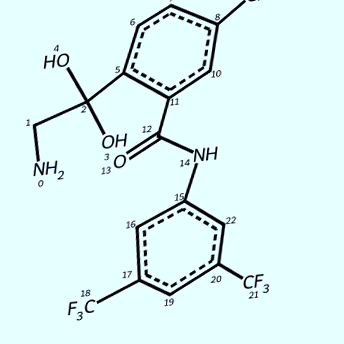 NCC(O)(O)c1ccc(Cl)cc1C(=O)Nc1cc(C(F)(F)F)cc(C(F)(F)F)c1